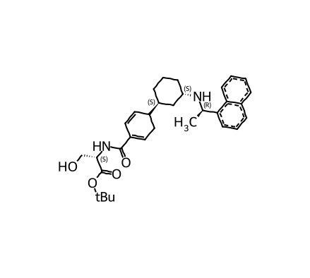 C[C@@H](N[C@H]1CCC[C@H](C2C=CC(C(=O)N[C@@H](CO)C(=O)OC(C)(C)C)=CC2)C1)c1cccc2ccccc12